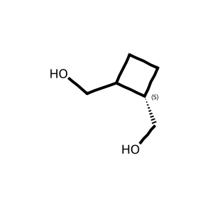 OCC1CC[C@@H]1CO